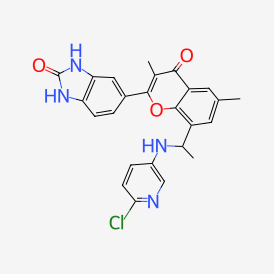 Cc1cc(C(C)Nc2ccc(Cl)nc2)c2oc(-c3ccc4[nH]c(=O)[nH]c4c3)c(C)c(=O)c2c1